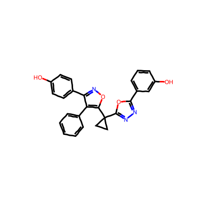 Oc1ccc(-c2noc(C3(c4nnc(-c5cccc(O)c5)o4)CC3)c2-c2ccccc2)cc1